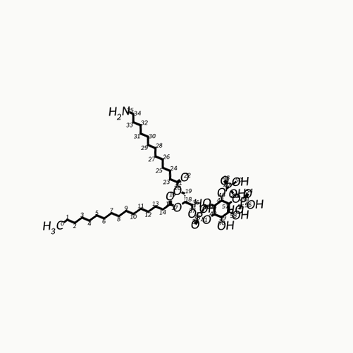 CCCCCCCCCCCCCCCC(=O)O[C@H](COC(=O)CCCCCCCCCCCCN)COP(=O)(O)OC1C(O)[C@@H](OP(=O)(O)O)C(OP(=O)(O)O)[C@@H](O)[C@H]1O